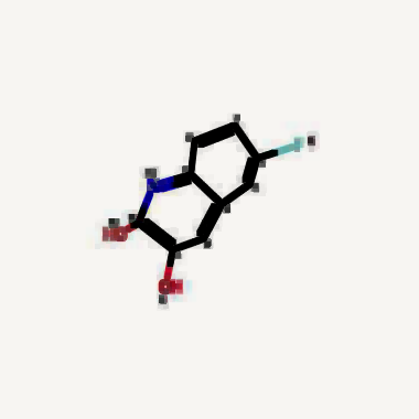 Oc1cc2cc(F)ccc2nc1O